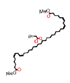 COC(=O)CCCC/C=C\C/C=C\CCCCCCCCC(CCCCCCCC/C=C\C/C=C\CCCCC(=O)OC)OC(=O)CC(C)C